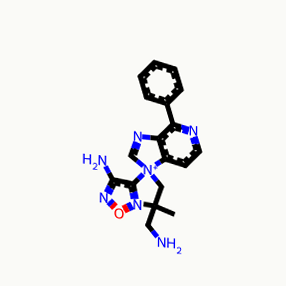 CC(C)(CN)C[N+]1(c2nonc2N)C=Nc2c1ccnc2-c1ccccc1